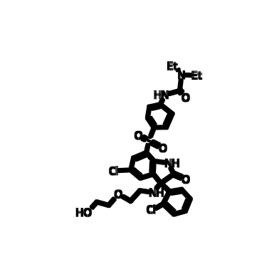 CCN(CC)C(=O)Nc1ccc(S(=O)(=O)c2cc(Cl)cc3c2NC(=O)C3(NCCOCCO)c2ccccc2Cl)cc1